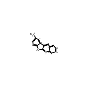 Cc1ccc2oc3nc4ccccc4cc3c2c1